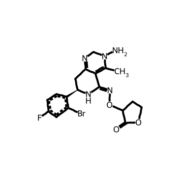 CC1=C2C(=NCN1N)C[C@H](c1ccc(F)cc1Br)NC2=NOC1CCOC1=O